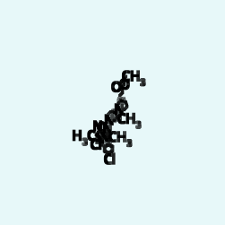 CCOC(=O)CC[C@@H]1CCCN([C@@H]2CCN(c3cnc4c(C)nn([C@H](C)c5ccc(Cl)cc5Cl)c4n3)C[C@@H]2C)C1